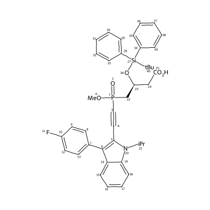 COP(=O)(C#Cc1c(-c2ccc(F)cc2)c2ccccc2n1C(C)C)C[C@H](CC(=O)O)O[Si](c1ccccc1)(c1ccccc1)C(C)(C)C